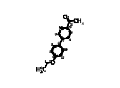 CCOc1ccc(-c2ccc(C(C)=O)nc2)cc1